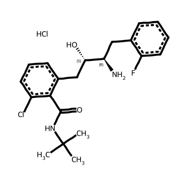 CC(C)(C)NC(=O)c1c(Cl)cccc1C[C@H](O)[C@H](N)Cc1ccccc1F.Cl